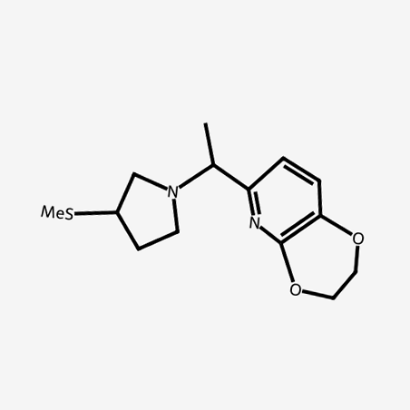 CSC1CCN(C(C)c2ccc3c(n2)OCCO3)C1